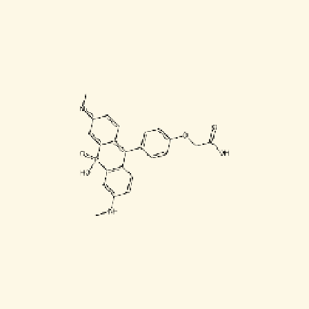 C/N=C1\C=CC2=C(c3ccc(OCC(=O)O)cc3)c3ccc(NC)cc3P(=O)(O)C2=C1